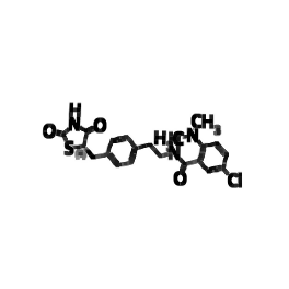 CN(C)c1ccc(Cl)cc1C(=O)NCCc1ccc(C[C@H]2SC(=O)NC2=O)cc1